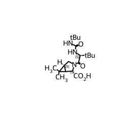 CC(C)(C)NC(=O)N[C@H](C(=O)N1C[C@H]2C([C@H]1C(=O)O)C2(C)C)C(C)(C)C